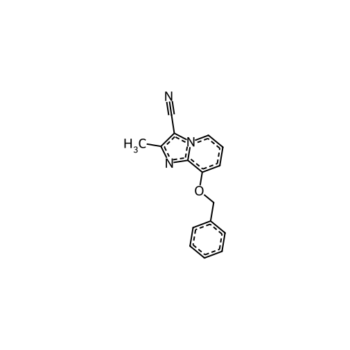 Cc1nc2c(OCc3ccccc3)cccn2c1C#N